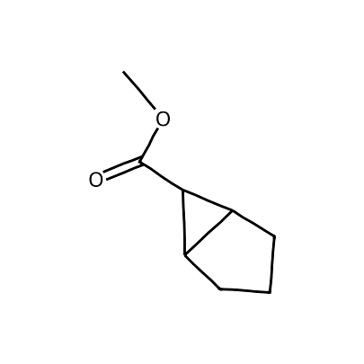 COC(=O)C1C2CCCC21